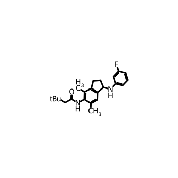 Cc1cc2c(c(C)c1NC(=O)CC(C)(C)C)CCC2Nc1cccc(F)c1